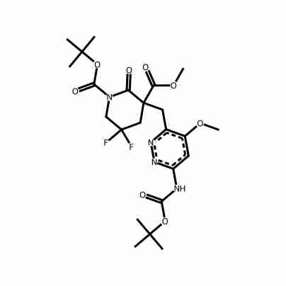 COC(=O)C1(Cc2nnc(NC(=O)OC(C)(C)C)cc2OC)CC(F)(F)CN(C(=O)OC(C)(C)C)C1=O